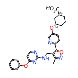 Cc1noc(-c2ccc(O[C@H]3CCC[C@H](C(=O)O)C3)cn2)c1CNc1nccc(Oc2ccccc2)n1